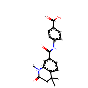 CN1C(=O)CC(C)(C)c2ccc(C(=O)Nc3ccc(C(=O)O)cc3)cc21